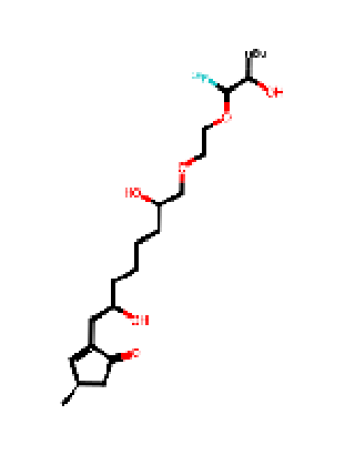 CCCCC(O)C([18F])OCCOCC(O)CCCCC(O)CC1=C[C@H](C)CC1=O